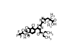 CCN(CC)C(=O)c1nc(-c2nnc(CC(C)(C)C(=O)O)o2)sc1-c1ccc(S(=O)(=O)NC(C)C(F)(F)F)c(Cl)c1Cl